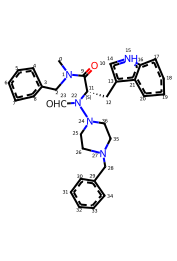 CN(Cc1ccccc1)C(=O)[C@H](Cc1c[nH]c2ccccc12)N(C=O)N1CCN(Cc2ccccc2)CC1